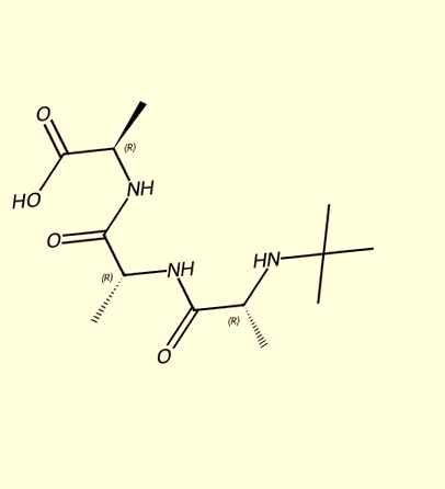 C[C@@H](NC(=O)[C@@H](C)NC(=O)[C@@H](C)NC(C)(C)C)C(=O)O